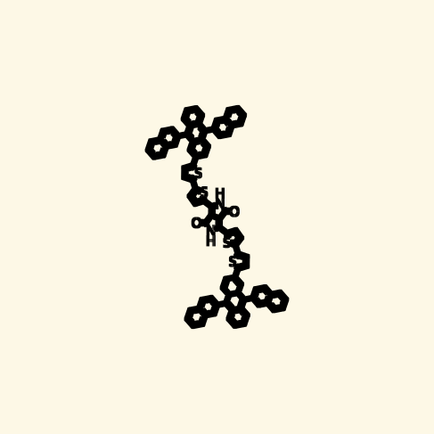 O=C1NC(c2ccc(-c3ccc(-c4ccc5c(-c6ccc7ccccc7c6)c6ccccc6c(-c6ccc7ccccc7c6)c5c4)s3)s2)=C2C(=O)NC(c3ccc(-c4ccc(C5=CC6C(c7ccc8ccccc8c7)=c7ccccc7=C(c7ccc8ccccc8c7)C6C=C5)s4)s3)=C12